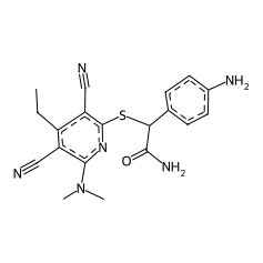 CCc1c(C#N)c(SC(C(N)=O)c2ccc(N)cc2)nc(N(C)C)c1C#N